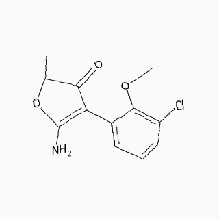 COc1c(Cl)cccc1C1=C(N)OC(C)C1=O